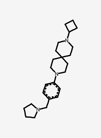 c1cc(N2CCC3(CC2)CCN(C2CCC2)CC3)ccc1CN1CCCC1